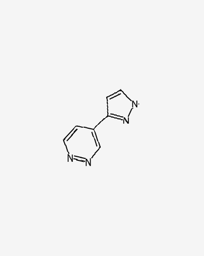 C1=CC(c2ccnnc2)=N[N]1